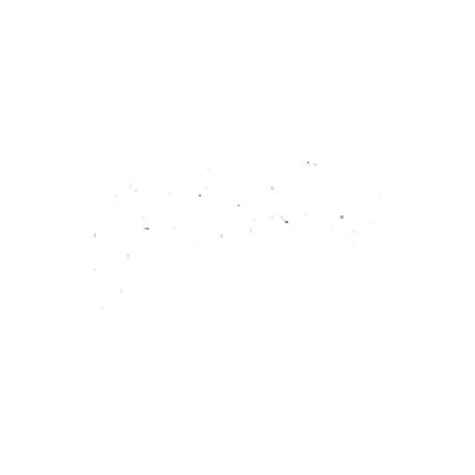 COC(=O)N[C@@H](CC/C=C/C(=O)N(C)C)C(=O)Nc1cccn(Cc2nc3cccc(Oc4ccccc4)c3[nH]2)c1=O